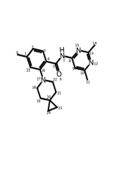 Cc1ccc(C(=O)Nc2cc(C)nc(C)n2)c(N2CCC3(CC2)CC3)c1